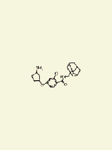 NC1CCC(Oc2ccc(C(=O)NCC34CC5CC(CC(C5)C3)C4)c(Cl)c2)C1